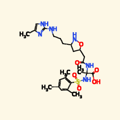 Cc1cc(C)c(S(=O)(=O)NC(C)(NC(=O)CC2CC(CCCNc3nc(C)c[nH]3)NO2)C(=O)O)c(C)c1